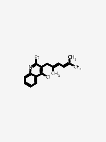 CCc1nc2ccccc2c(Cl)c1C/C(C)=C/C=C(\C)C(F)(F)F